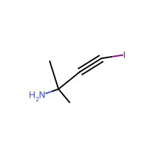 CC(C)(N)C#CI